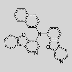 c1ccc2cc(N(c3cccc4c3oc3cnccc34)c3cncc4c3oc3ccccc34)ccc2c1